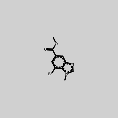 COC(=O)c1cc(Br)c2c(c1)ncn2C